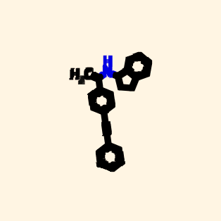 C=C(NC1CCc2ccccc21)c1ccc(C#Cc2ccccc2)cc1